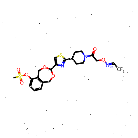 CS(=O)(=O)Oc1cccc2c1COC(c1csc(C3CCN(C(=O)CO/N=C/C(F)(F)F)CC3)n1)OC2